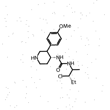 CC[C@H](Cl)C(C)NC(=O)N[C@@H]1CCNCC1c1ccc(OC)cc1